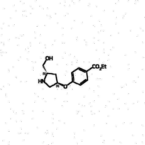 CCOC(=O)c1ccc(O[C@H]2CN[C@H](CO)C2)cc1